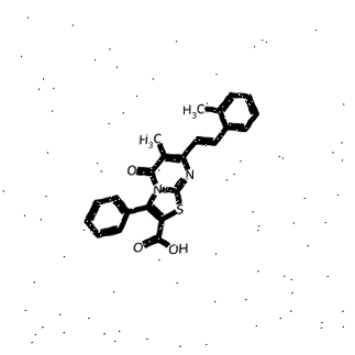 Cc1ccccc1/C=C/c1nc2sc(C(=O)O)c(-c3ccccc3)n2c(=O)c1C